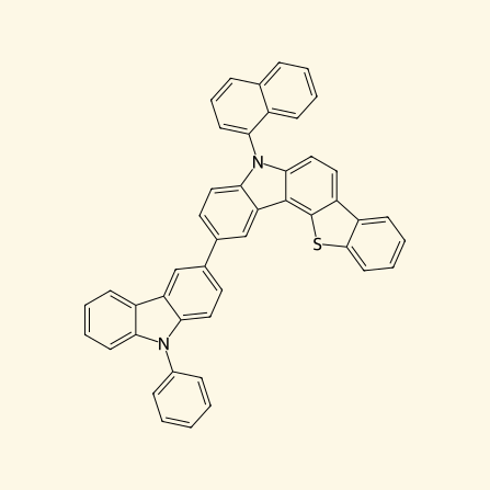 c1ccc(-n2c3ccccc3c3cc(-c4ccc5c(c4)c4c6sc7ccccc7c6ccc4n5-c4cccc5ccccc45)ccc32)cc1